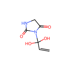 C=CC(O)(O)N1C(=O)CNC1=O